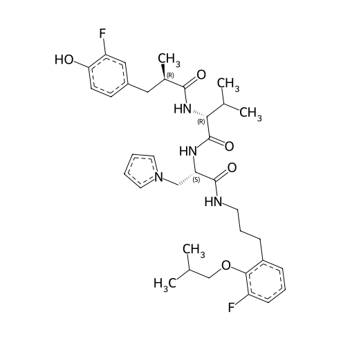 CC(C)COc1c(F)cccc1CCCNC(=O)[C@H](Cn1cccc1)NC(=O)[C@H](NC(=O)[C@H](C)Cc1ccc(O)c(F)c1)C(C)C